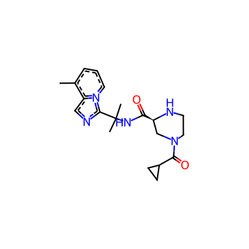 Cc1cccn2c(C(C)(C)NC(=O)[C@@H]3CN(C(=O)C4CC4)CCN3)ncc12